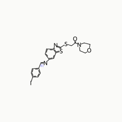 O=C(CSc1nc2ccc(/N=C/c3ccc(I)cc3)cc2s1)N1CCOCC1